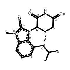 CC(C)[C@@H](C)c1cccc2c1n(C1CCC(=O)NC1=O)c(=O)n2C